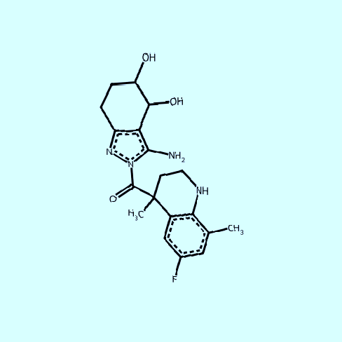 Cc1cc(F)cc2c1NCCC2(C)C(=O)n1nc2c(c1N)C(O)C(O)CC2